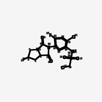 O=C1C2CC(F)CN2C(=O)N1c1cc(NS(=O)(=O)CCl)c(Cl)cc1F